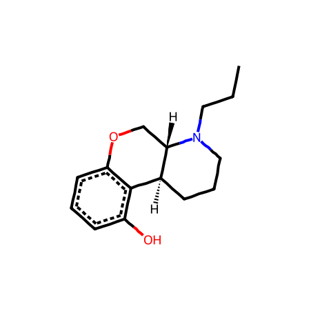 CCCN1CCC[C@H]2c3c(O)cccc3OC[C@@H]21